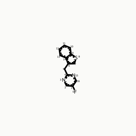 Fc1cnc(Cc2csc3ccccc23)nc1